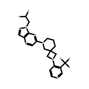 FC(F)Cn1ncc2ncc(N3CCCC4(C3)CN(c3ccncc3C(F)(F)F)C4)nc21